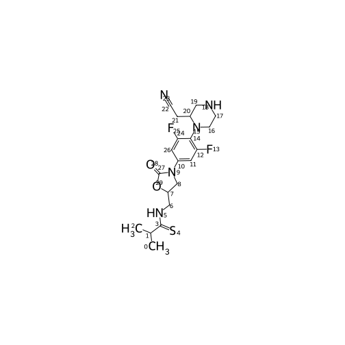 CC(C)C(=S)NCC1CN(c2cc(F)c(N3CCNCC3CC#N)c(F)c2)C(=O)O1